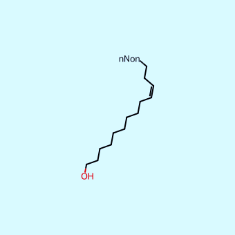 CCCCCCCCCCC/C=C\CCCCCCCCCO